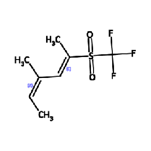 C/C=C(C)\C=C(/C)S(=O)(=O)C(F)(F)F